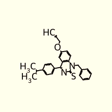 C#CCOc1ccc2c(c1)c(-c1ccc(C(C)C)cc1)nc(=S)n2Cc1ccccc1